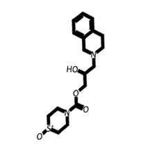 O=C(OCC(O)CN1CCc2ccccc2C1)N1CC[S+]([O-])CC1